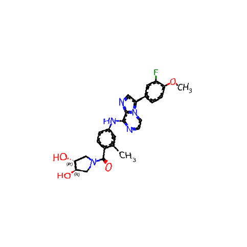 COc1ccc(-c2cnc3c(Nc4ccc(C(=O)N5C[C@@H](O)[C@H](O)C5)c(C)c4)nccn23)cc1F